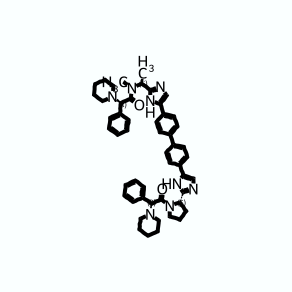 C[C@@H](c1ncc(-c2ccc(-c3ccc(-c4cnc([C@@H]5CCCN5C(=O)[C@@H](c5ccccc5)N5CCCCC5)[nH]4)cc3)cc2)[nH]1)N(C)C(=O)[C@@H](c1ccccc1)N1CCCCC1